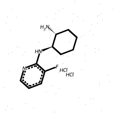 Cl.Cl.N[C@@H]1CCCC[C@H]1Nc1ncccc1F